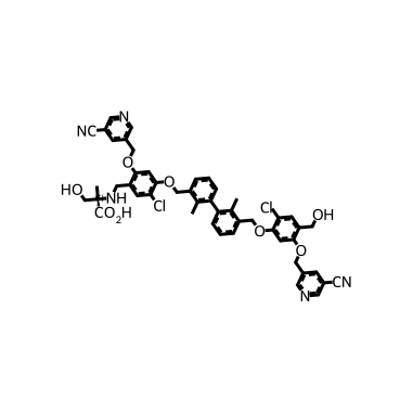 Cc1c(COc2cc(OCc3cncc(C#N)c3)c(CO)cc2Cl)cccc1-c1cccc(COc2cc(OCc3cncc(C#N)c3)c(CN[C@@](C)(CO)C(=O)O)cc2Cl)c1C